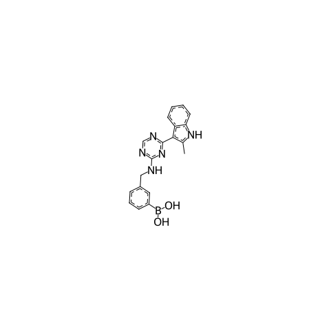 Cc1[nH]c2ccccc2c1-c1ncnc(NCc2cccc(B(O)O)c2)n1